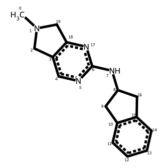 CN1Cc2cnc(NC3Cc4ccccc4C3)nc2C1